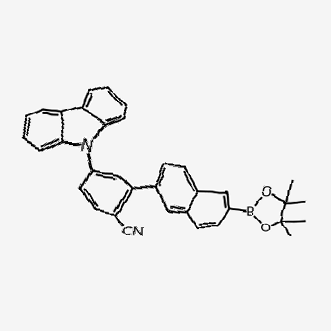 CC1(C)OB(c2ccc3cc(-c4cc(-n5c6ccccc6c6ccccc65)ccc4C#N)ccc3c2)OC1(C)C